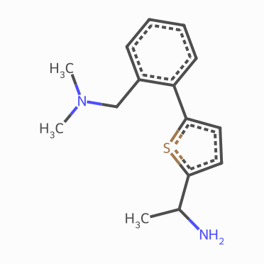 CC(N)c1ccc(-c2ccccc2CN(C)C)s1